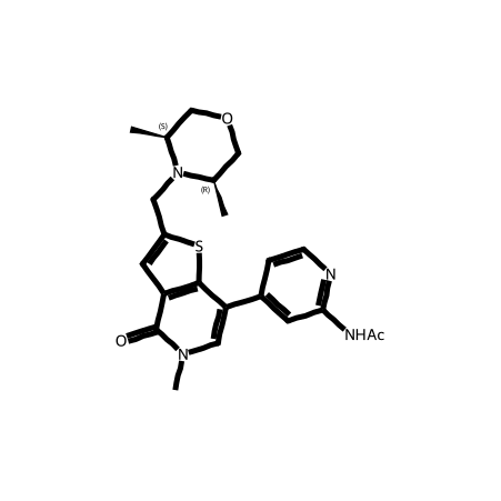 CC(=O)Nc1cc(-c2cn(C)c(=O)c3cc(CN4[C@H](C)COC[C@@H]4C)sc23)ccn1